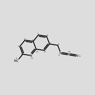 N#Cc1ccc2ccc(CN=[N+]=[N-])cc2n1